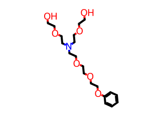 OCCOCCN(CCOCCO)CCOCCOCCOc1ccccc1